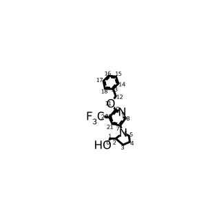 OCC1CCCN1c1cnc(OCc2ccccc2)c(C(F)(F)F)c1